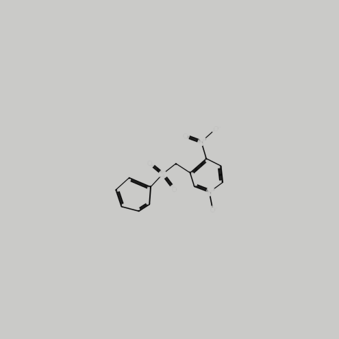 O=[N+]([O-])c1cc[n+]([O-])cc1CS(=O)(=O)c1ccccc1